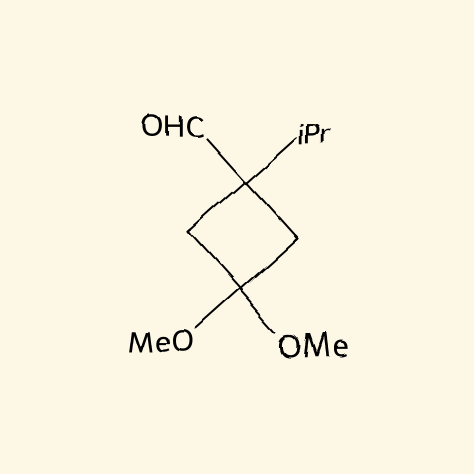 COC1(OC)CC(C=O)(C(C)C)C1